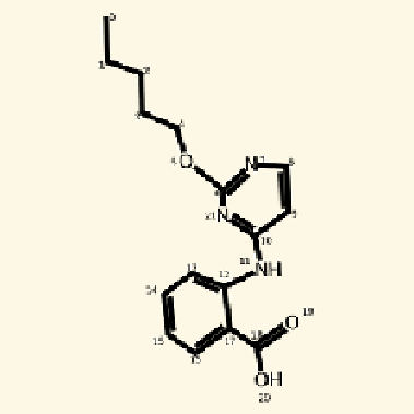 CCCCCOc1nccc(Nc2ccccc2C(=O)O)n1